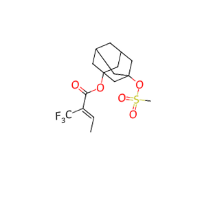 CC=C(C(=O)OC12CC3CC(C1)CC(OS(C)(=O)=O)(C3)C2)C(F)(F)F